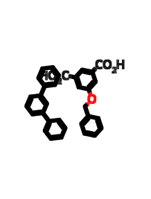 O=C(O)c1cc(OCc2ccccc2)cc(C(=O)O)c1.c1ccc(-c2cccc(-c3ccccc3)c2)cc1